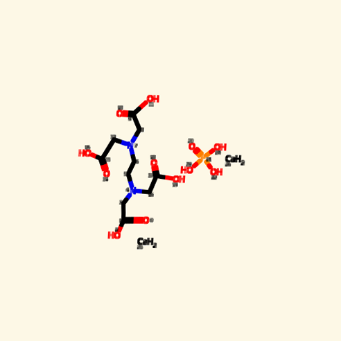 O=C(O)CN(CCN(CC(=O)O)CC(=O)O)CC(=O)O.O=P(O)(O)O.[CaH2].[CaH2]